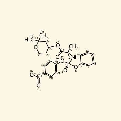 CC(NP(=O)(Oc1ccccc1)Oc1ccc([N+](=O)[O-])cc1)C(=O)OC1CCOC(C)(C)C1